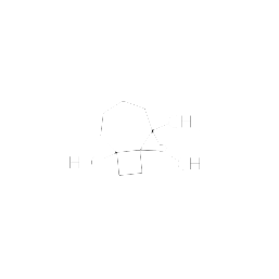 CP1C2(C)CCCCC3(C)CCC132